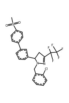 CS(=O)(=O)c1ccc(-c2cccc(C3CC(C(F)(F)C(F)(F)F)=NN3Cc3ccccc3Cl)c2)cc1